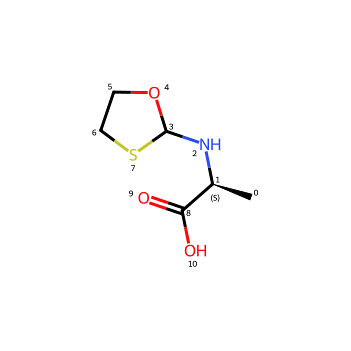 C[C@H](NC1OCCS1)C(=O)O